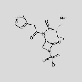 C[C@H](N)C(=O)N(C(=O)Cc1cccs1)C1CN(S(=O)(=O)[O-])C1=O.[Na+]